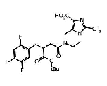 CC(C)(C)OC(=O)C(CC(=O)N1CCn2c(C(F)(F)F)nc(C(=O)O)c2C1)Cc1cc(F)c(F)cc1F